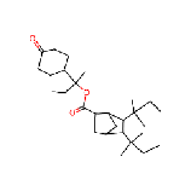 CCC(C)(C)C1C2CC(C(=O)OC(C)(CC)C3CCC(=O)CC3)C(C2)C1C(C)(C)CC